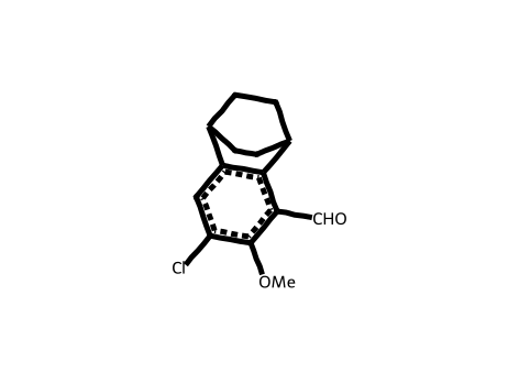 COc1c(Cl)cc2c(c1C=O)C1CCC2CC1